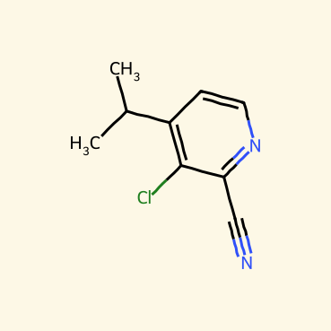 CC(C)c1ccnc(C#N)c1Cl